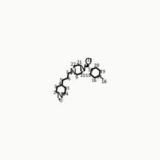 CN1CCC(CCCN2CCN(C(=O)[C@H]3CC[C@H](C)CC3)CC2)CC1